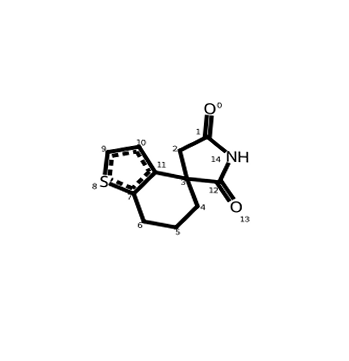 O=C1CC2(CCCc3sccc32)C(=O)N1